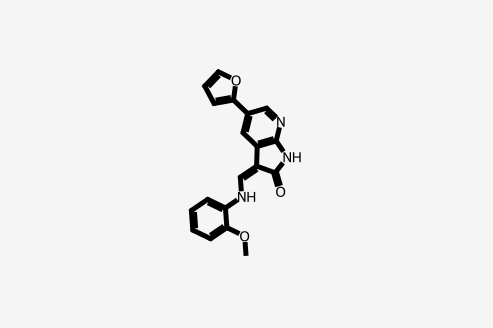 COc1ccccc1NC=C1C(=O)Nc2ncc(-c3ccco3)cc21